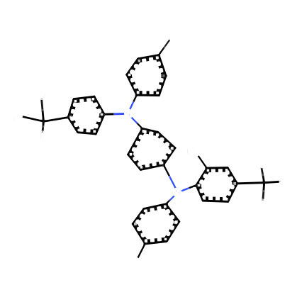 CCC(C)(CC)c1ccc(N(c2ccc(N(c3ccc(C)cc3)c3ccc(C(C)(CC)CC)cc3C)cc2)c2ccc(C(C)(C)C)cc2)cc1